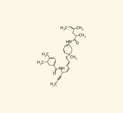 CC#CC(/C=C\C=C\SC1(C)C=CC=C(NC(=O)C(C)C/C(C)=C\C)CC1)NC(=O)C1=CC=C(C)C(C)C1